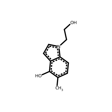 Cc1ccc2c(ccn2CCO)c1O